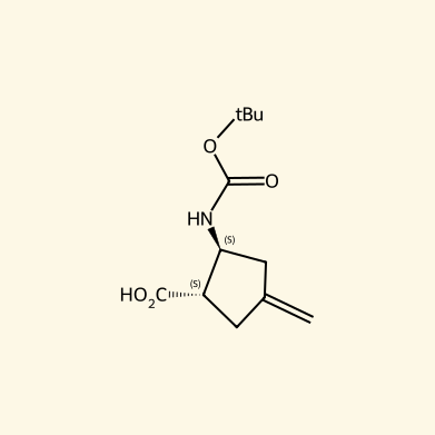 C=C1C[C@H](NC(=O)OC(C)(C)C)[C@@H](C(=O)O)C1